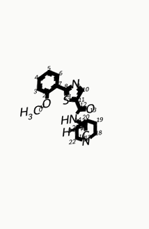 COc1ccccc1-c1ncc(C(=O)N[C@H]2CN3CCC2CC3)s1